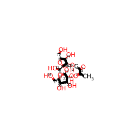 CC(=O)C(C)=O.OC[C@H]1O[C@@](CO)(O[C@H]2O[C@H](CO)[C@@H](O)[C@H](O)[C@H]2O)[C@@H](O)[C@@H]1O